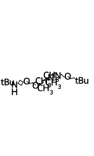 CC(C)(C)CCOCCN1CCN(C(C)(C)CCC(C)(C)OCCO[C@H]2C[C@@H](NC(C)(C)C)C2)CC1